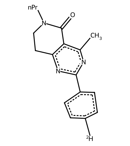 [2H]c1ccc(-c2nc(C)c3c(n2)CCN(CCC)C3=O)cc1